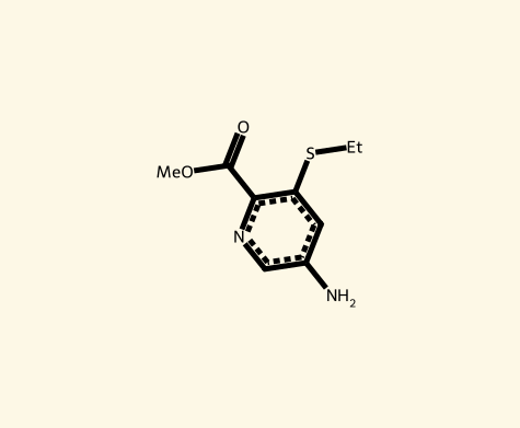 CCSc1cc(N)cnc1C(=O)OC